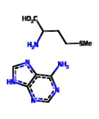 CSCCC(N)C(=O)O.Nc1ncnc2[nH]cnc12